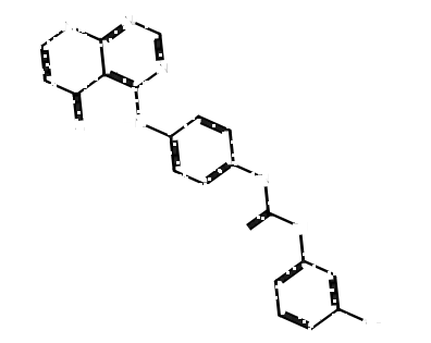 O=C(Nc1ccc(Nc2ncnc3[nH]ccc(=O)c23)cc1)Nc1cccc(C(F)(F)F)c1